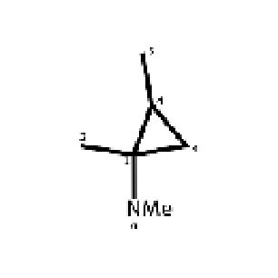 CNC1(C)CC1C